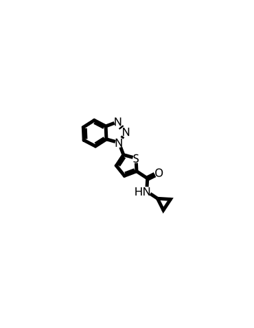 O=C(NC1CC1)c1ccc(-n2nnc3ccccc32)s1